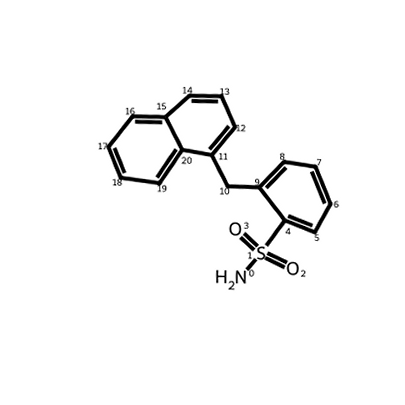 NS(=O)(=O)c1ccccc1Cc1cccc2ccccc12